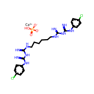 N=C(NCCCCCCNC(=N)NC(=N)Nc1ccc(Cl)cc1)NC(=N)Nc1ccc(Cl)cc1.O=P([O-])([O-])O.[Ca+2]